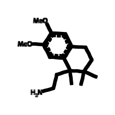 COc1cc2c(cc1OC)C(C)(CCN)C(C)(C)CC2